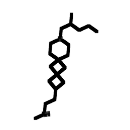 CCCC(C)CN1CCC2(CC1)CC1(CC(CCNC)C1)C2